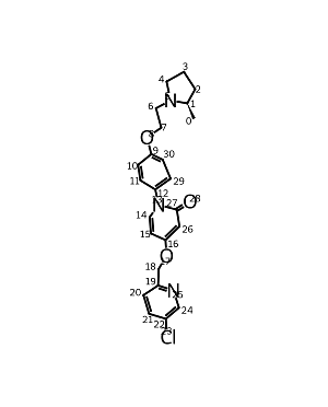 C[C@@H]1CCCN1CCOc1ccc(-n2ccc(OCc3ccc(Cl)cn3)cc2=O)cc1